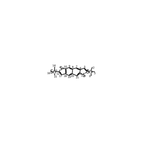 [CH3][Sn]([CH3])([CH3])[c]1cc2cc3cc4s[c]([Sn]([CH3])([CH3])[CH3])cc4cc3cc2s1